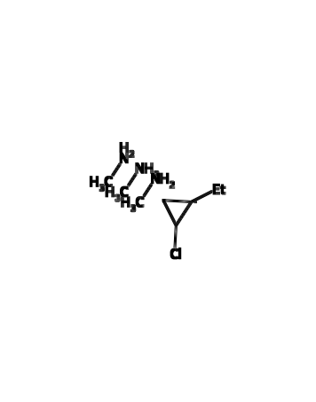 CC[C]1CC1Cl.CN.CN.CN